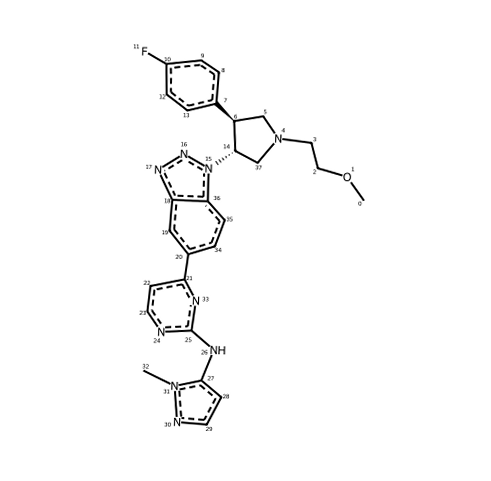 COCCN1C[C@H](c2ccc(F)cc2)[C@@H](n2nnc3cc(-c4ccnc(Nc5ccnn5C)n4)ccc32)C1